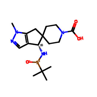 Cn1ncc2c1CC1(CCN(C(=O)O)CC1)[C@@H]2N[S+]([O-])C(C)(C)C